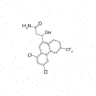 NC(=O)CC(O)c1cc2c(Cl)cc(Cl)cc2c2cc(C(F)(F)F)ccc12